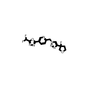 FC(F)c1nnc(-c2ccc(Cn3cc(C4(F)CCOC4)nn3)nc2)o1